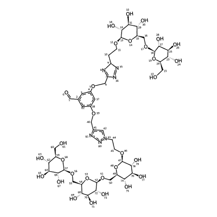 O=Cc1cc(OCC2=NC(CCO[C@@H]3O[C@H](CO[C@@H]4O[C@H](CO)[C@@H](O)[C@H](O)[C@H]4O)[C@@H](O)[C@H](O)[C@H]3O)N=N2)cc(OCc2cn(CCO[C@@H]3O[C@H](CO[C@@H]4O[C@H](CO[C@@H]5O[C@H](CO)[C@@H](O)[C@H](O)[C@H]5O)[C@@H](O)[C@H](O)[C@H]4O)[C@@H](O)[C@H](O)[C@H]3O)nn2)c1